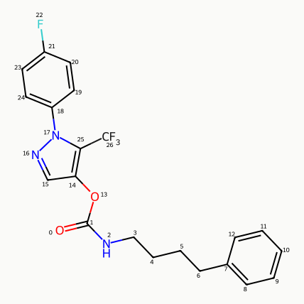 O=C(NCCCCc1ccccc1)Oc1cnn(-c2ccc(F)cc2)c1C(F)(F)F